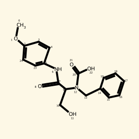 COc1ccc(NC(=O)C(CO)N(Cc2ccccc2)C(=O)O)cc1